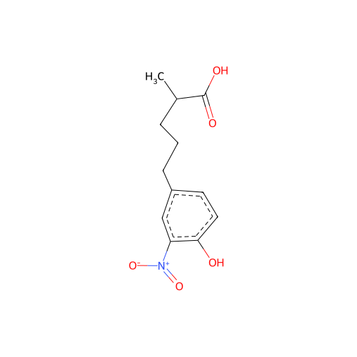 CC(CCCc1ccc(O)c([N+](=O)[O-])c1)C(=O)O